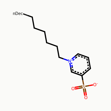 CCCCCCCCCCCCCCCC[n+]1cccc(S(=O)(=O)[O-])c1